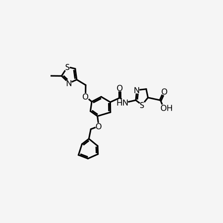 Cc1nc(COc2cc(OCc3ccccc3)cc(C(=O)NC3=NCC(C(=O)O)S3)c2)cs1